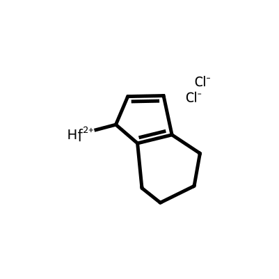 [Cl-].[Cl-].[Hf+2][CH]1C=CC2=C1CCCC2